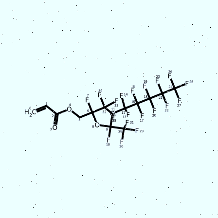 C=CC(=O)OCC(F)(OC(F)(OC(F)(F)C(F)(F)C(F)(F)C(F)(F)C(F)(F)F)C(F)(F)F)C(F)(F)F